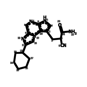 N#CC(Cc1c[nH]c2ncc3nc(C4CCCCC4)cn3c12)C(N)=O